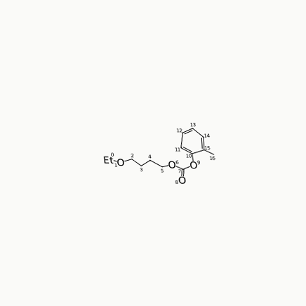 CCOCCCCOC(=O)Oc1ccccc1C